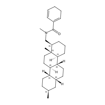 C[C@H]1CC[C@H]2[C@H](CC[C@@H]3[C@@H]2CC[C@]2(C)[C@@H](CN(C)C(=O)C4=CCCC=C4)CCC[C@@H]32)C1